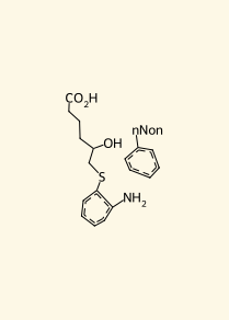 CCCCCCCCCc1ccccc1.Nc1ccccc1SCC(O)CCCC(=O)O